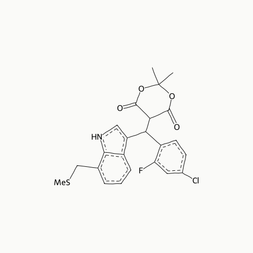 CSCc1cccc2c(C(c3ccc(Cl)cc3F)C3C(=O)OC(C)(C)OC3=O)c[nH]c12